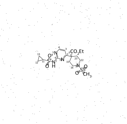 CCOC(=O)C1(c2ccnc(NS(=O)(=O)C3CC3)n2)CCN(S(C)(=O)=O)CC1